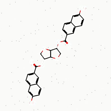 O=C(O[C@H]1COC2C1OC[C@H]2OC(=O)c1ccc2cc(O)ccc2c1)c1ccc2cc(O)ccc2c1